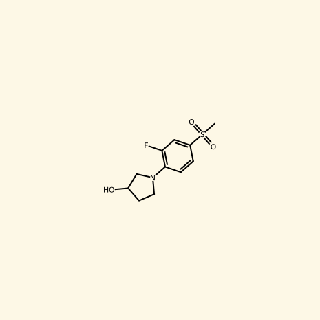 CS(=O)(=O)c1ccc(N2CCC(O)C2)c(F)c1